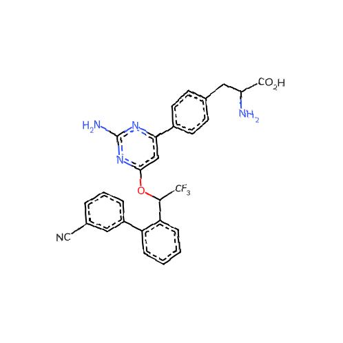 N#Cc1cccc(-c2ccccc2C(Oc2cc(-c3ccc(CC(N)C(=O)O)cc3)nc(N)n2)C(F)(F)F)c1